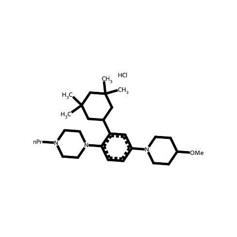 CCCN1CCN(c2ccc(N3CCC(OC)CC3)cc2C2CC(C)(C)CC(C)(C)C2)CC1.Cl